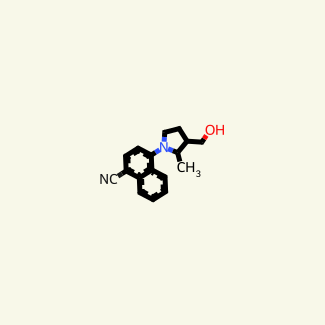 CC1C(CO)CCN1c1ccc(C#N)c2ccccc12